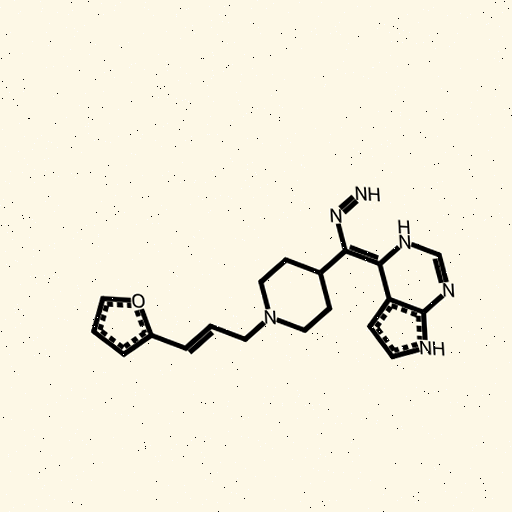 N=N/C(=C1\NC=Nc2[nH]ccc21)C1CCN(C/C=C/c2ccco2)CC1